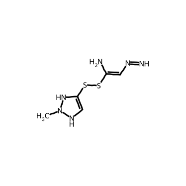 CN1NC=C(SS/C(N)=C/N=N)N1